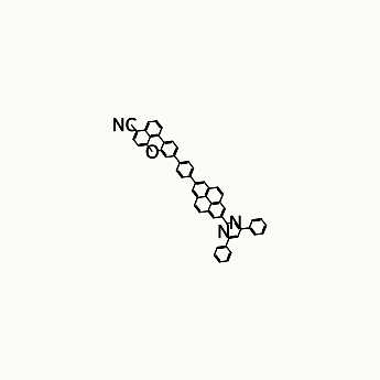 N#Cc1ccc2c3c(cccc13)-c1ccc(-c3ccc(-c4cc5ccc6cc(-c7nc(-c8ccccc8)cc(-c8ccccc8)n7)cc7ccc(c4)c5c67)cc3)cc1O2